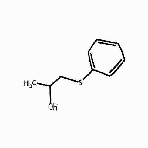 CC(O)CSc1ccccc1